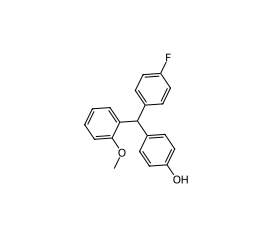 COc1ccccc1C(c1ccc(O)cc1)c1ccc(F)cc1